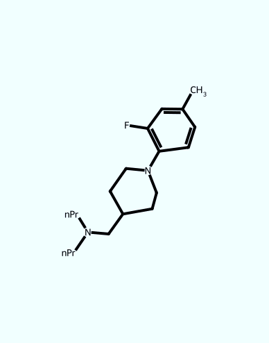 CCCN(CCC)CC1CCN(c2ccc(C)cc2F)CC1